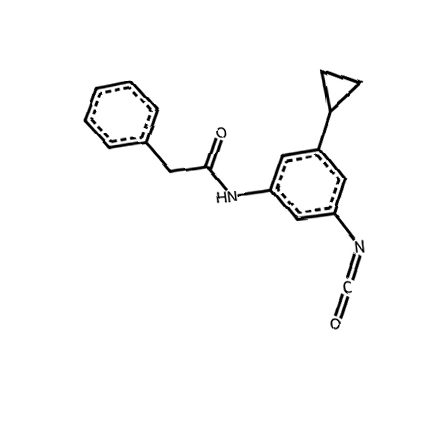 O=C=Nc1cc(NC(=O)Cc2ccccc2)cc(C2CC2)c1